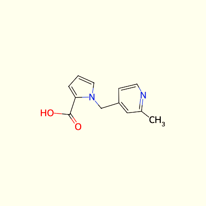 Cc1cc(Cn2cccc2C(=O)O)ccn1